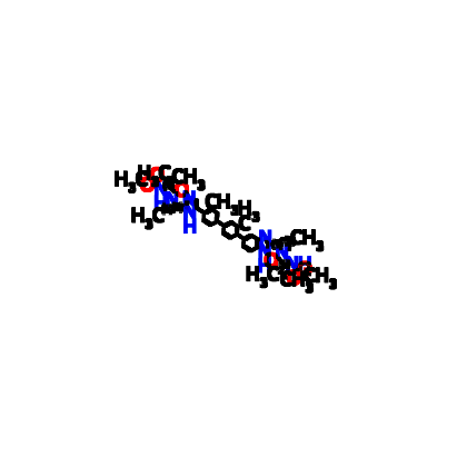 COC(=O)N[C@H](C(=O)N1C[C@@H](C)C[C@H]1c1ncc(-c2ccc(-c3ccc(-c4ccc5[nH]c([C@@H]6C[C@H](C)CN6C(=O)[C@@H](NC(=O)OC)C(C)C)nc5c4)c(C)c3)cc2C)[nH]1)C(C)C